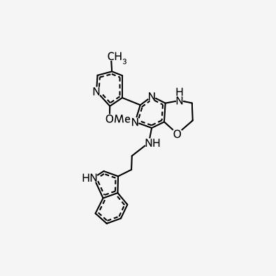 COc1ncc(C)cc1-c1nc2c(c(NCCc3c[nH]c4ccccc34)n1)OCCN2